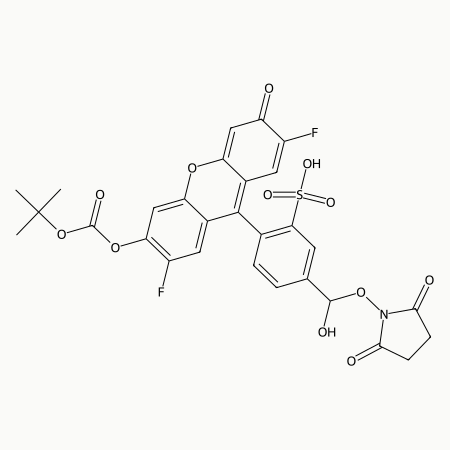 CC(C)(C)OC(=O)Oc1cc2oc3cc(=O)c(F)cc-3c(-c3ccc(C(O)ON4C(=O)CCC4=O)cc3S(=O)(=O)O)c2cc1F